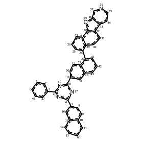 c1ccc(-c2nc(-c3ccc4ccccc4c3)nc(-c3ccc4c(-c5cccc6c5ccc5c7ccncc7oc65)cccc4c3)n2)cc1